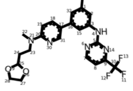 Cc1cc(Nc2nccc(C(F)(F)F)n2)cc(-c2ccc(N(C)CCC3OCCO3)nc2)c1